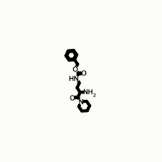 NC(CCNC(=O)OCc1ccccc1)C(=O)N1CCCCC1